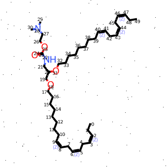 CC/C=C\C/C=C\C/C=C\CCCCCCCCOCC(CNC(=O)OCCN(C)C)OCCCCCCCC/C=C\C/C=C\C/C=C\CC